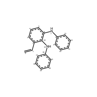 C=Cc1cccc(Nc2ccccc2)c1Nc1ccccc1